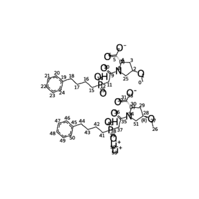 COC1C[C@@H](C(=O)[O-])N(C(=O)CP(=O)(O)CCCCc2ccccc2)C1.CO[C@@H]1C[C@@H](C(=O)[O-])N(C(=O)CP(=O)(O)CCCCc2ccccc2)C1.[Li+].[Li+]